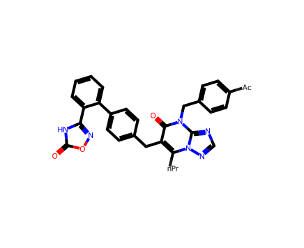 CCCc1c(Cc2ccc(-c3ccccc3-c3noc(=O)[nH]3)cc2)c(=O)n(Cc2ccc(C(C)=O)cc2)c2ncnn12